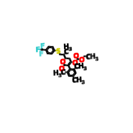 CCOC(=O)OC1=C(c2c(C)cc(C)cc2C)C(=O)OC(C(C)CSc2ccc(C(F)(F)F)cc2)C1